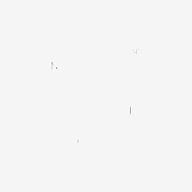 CCc1c(Cl)cncc1Br